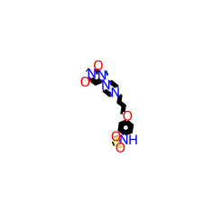 Cn1c(N2CCN(CCCCOc3ccc(NS(C)(=O)=O)cc3)CC2)cc(=O)n(C)c1=O